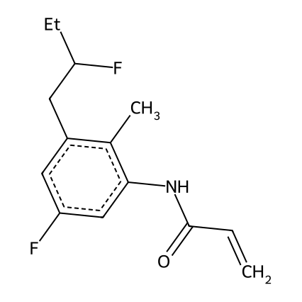 C=CC(=O)Nc1cc(F)cc(CC(F)CC)c1C